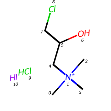 C[N+](C)(C)CC(O)CCl.Cl.I